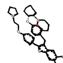 Oc1cc2sc(-c3ccc(OCCN4CCCC4)cc3)c(Cc3ccc(O[C@@H]4CCCC[C@H]4N4CCCCC4)cc3)c2cc1F